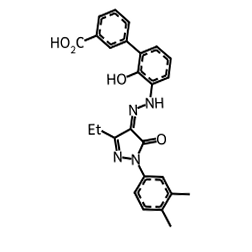 CCC1=NN(c2ccc(C)c(C)c2)C(=O)/C1=N\Nc1cccc(-c2cccc(C(=O)O)c2)c1O